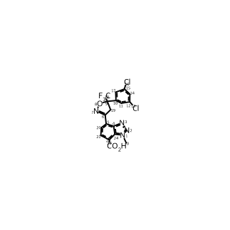 Cn1nnc2c(C3=NOC(c4cc(Cl)cc(Cl)c4)(C(F)(F)F)C3)ccc(C(=O)O)c21